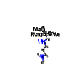 CO[Si](CNCCCN(C)C)(OC)OC